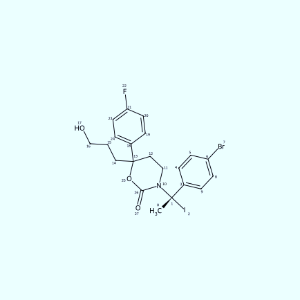 C[C@](I)(c1ccc(Br)cc1)N1CCC(CCCO)(c2ccc(F)cc2)OC1=O